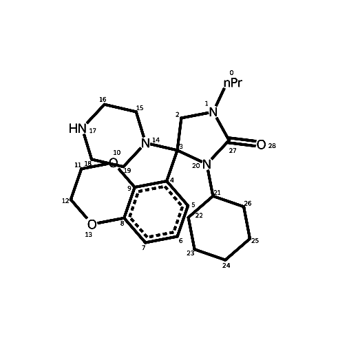 CCCN1CC(c2cccc3c2OCCO3)(N2CCNCC2)N(C2CCCCC2)C1=O